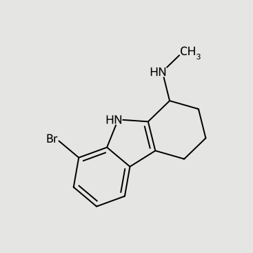 CNC1CCCc2c1[nH]c1c(Br)cccc21